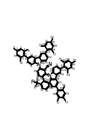 Cc1cc(C)c(-c2ccc3c(c2)c2cc(-c4c(C)cc(C)cc4C)ccc2n3-c2ccc(-c3ccccc3C(F)(F)F)c(-n3c4ccc(-c5cc(C)c(C)cc5C)cc4c4cc(-c5c(C)cc(C)cc5C)ccc43)c2C#N)c(C)c1